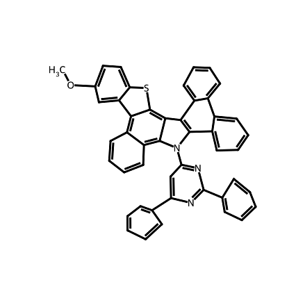 COc1ccc2sc3c(c2c1)c1ccccc1c1c3c2c3ccccc3c3ccccc3c2n1-c1cc(-c2ccccc2)nc(-c2ccccc2)n1